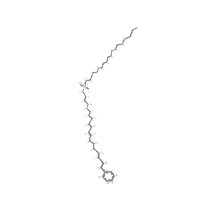 CCCCCCCCCCCCCCCCCC[N+](C)(C)CCCCCCCCCCCCCCCCCCCc1ccccc1